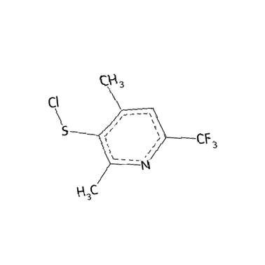 Cc1cc(C(F)(F)F)nc(C)c1SCl